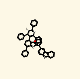 I[C@@H]1C(c2ccccc2)=NC(c2ccccc2)=C(c2ccc(-c3ccccc3)c3oc4c(-c5ccc6sc7ccccc7c6c5)cccc4c23)C1c1ccccc1